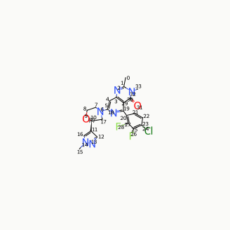 Cc1nc2cc(N3CCO[C@H](c4cnn(C)c4)C3)nc(-c3ccc(Cl)c(F)c3F)c2c(=O)n1C